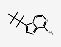 CC(C)(C)C(C)(C)c1cnc2c(N)nccn12